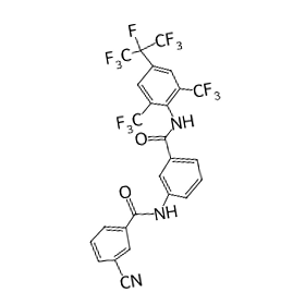 N#Cc1cccc(C(=O)Nc2cccc(C(=O)Nc3c(C(F)(F)F)cc(C(F)(C(F)(F)F)C(F)(F)F)cc3C(F)(F)F)c2)c1